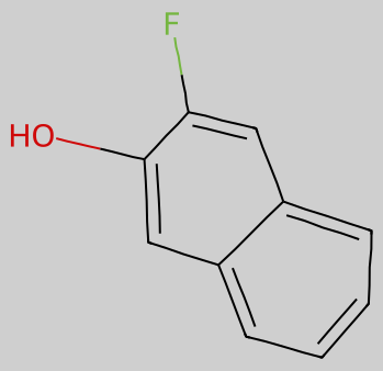 Oc1cc2ccccc2cc1F